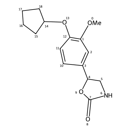 COc1cc(C2CNC(=O)O2)ccc1OC1CCCC1